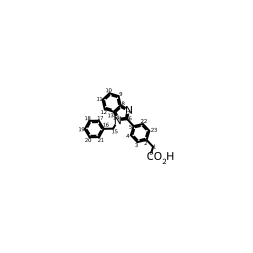 O=C(O)Cc1ccc(-c2nc3ccccc3n2Cc2ccccc2)cc1